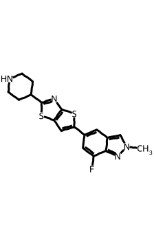 Cn1cc2cc(-c3cc4sc(C5CCNCC5)nc4s3)cc(F)c2n1